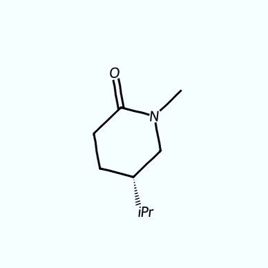 CC(C)[C@@H]1CCC(=O)N(C)C1